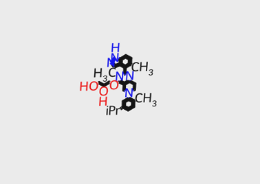 Cc1ccc(C(C)C)cc1N1CCc2nc(-c3c(C)ccc4[nH]nc(C)c34)nc(OC[C@H](O)CO)c2C1